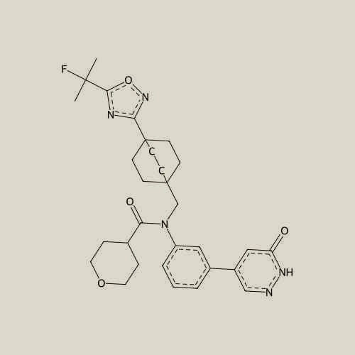 CC(C)(F)c1nc(C23CCC(CN(C(=O)C4CCOCC4)c4cccc(-c5cn[nH]c(=O)c5)c4)(CC2)CC3)no1